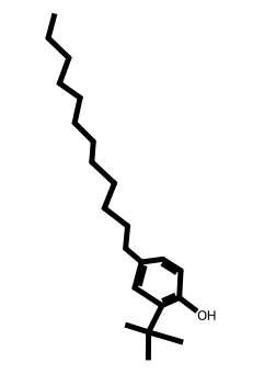 CCCCCCCCCCCCc1ccc(O)c(C(C)(C)C)c1